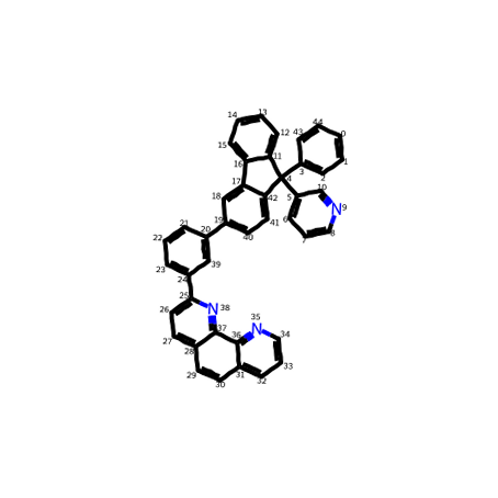 c1ccc(C2(c3cccnc3)c3ccccc3-c3cc(-c4cccc(-c5ccc6ccc7cccnc7c6n5)c4)ccc32)cc1